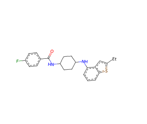 CCc1cc2c(NC3CCC(NC(=O)c4ccc(F)cc4)CC3)cccc2s1